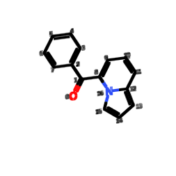 O=C(c1ccccc1)c1c[c]cc2cccn12